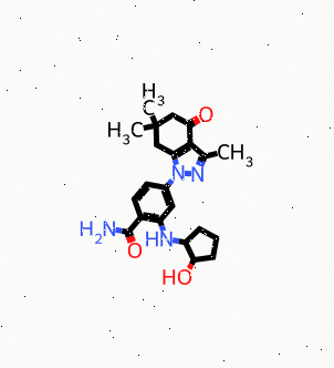 Cc1nn(-c2ccc(C(N)=O)c(NC3CCCC3O)c2)c2c1C(=O)CC(C)(C)C2